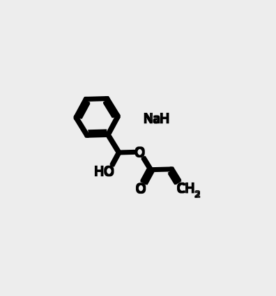 C=CC(=O)OC(O)c1ccccc1.[NaH]